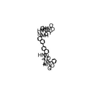 COC(=O)N[C@H](C(=O)N1[C@@H]2CC[C@@H](C2)[C@H]1c1nc2ccc3cc(-c4ccc5c(ccc6nc([C@H](C)N(C(=O)[C@H](NC(=O)OC)c7ccccc7)C7CC7)[nH]c65)c4)ccc3c2[nH]1)C(C)C